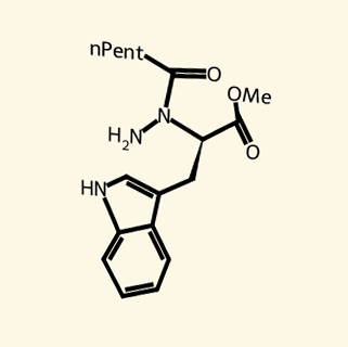 CCCCCC(=O)N(N)[C@H](Cc1c[nH]c2ccccc12)C(=O)OC